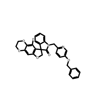 O=C1N(Cc2ccc(OCc3ccccc3)cn2)c2ccccc2C12COc1cc3c(c(F)c12)OCCO3